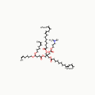 CC/C=C\CCCCOC(CCC(=O)OCC(COC(=O)CCCCCCC/C=C\C/C=C\CCCCC)(COC(=O)CCCCCCC/C=C\C/C=C\CCCCC)COC(=O)OCCCN(C)CC)OCCCC/C=C\CC